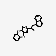 CC(Cc1cccc2ccccc12)c1cc2c(nn1)Oc1ccccc1O2